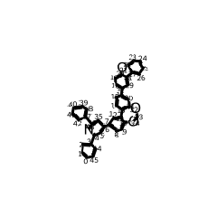 c1ccc(-c2cc(-c3ccc4c(c3)-c3ccc(-c5ccc6oc7ccccc7c6c5)cc3OCO4)cc(-c3ccccc3)n2)cc1